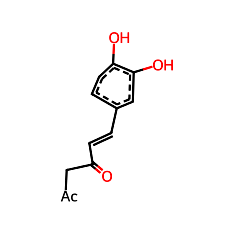 CC(=O)CC(=O)C=Cc1ccc(O)c(O)c1